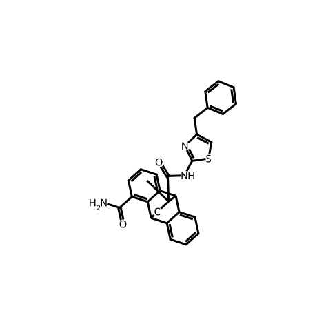 CC1(C(=O)Nc2nc(Cc3ccccc3)cs2)CC2c3ccccc3C1c1cccc(C(N)=O)c12